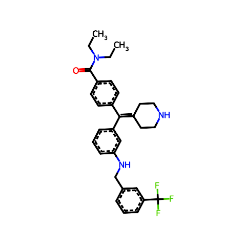 CCN(CC)C(=O)c1ccc(C(=C2CCNCC2)c2cccc(NCc3cccc(C(F)(F)F)c3)c2)cc1